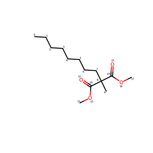 CCCCCCCCC(C)(C(=O)OC)C(=O)OC